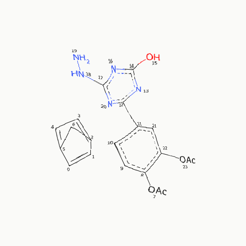 C1=CC2=CC=C1C2.CC(=O)Oc1ccc(-c2nc(O)nc(NN)n2)cc1OC(C)=O